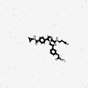 N#CCCNc1nc(-c2cccc(CC(N)=O)c2)cn2c(-c3ccc(C(=O)NC4CC4)cc3)cnc12